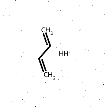 C=CC=C.[HH]